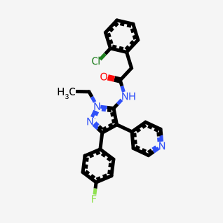 CCn1nc(-c2ccc(F)cc2)c(-c2ccncc2)c1NC(=O)Cc1ccccc1Cl